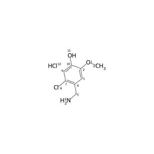 COc1cc(CN)c(Cl)cc1O.Cl